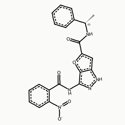 C[C@H](NC(=O)c1cc2[nH]nc(NC(=O)c3ccccc3[N+](=O)[O-])c2o1)c1ccccc1